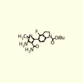 CC(C)COC(=O)N1CCc2c1ccc(-c1nn(C)c(N)c1C(N)=O)c2F